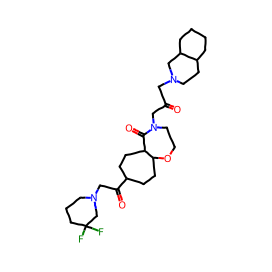 O=C(CN1CCC2CCCCC2C1)CN1CCOC2CCC(C(=O)CN3CCCC(F)(F)C3)CCC2C1=O